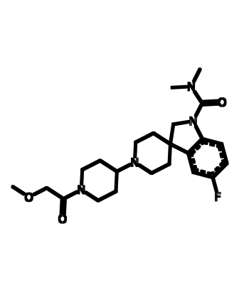 COCC(=O)N1CCC(N2CCC3(CC2)CN(C(=O)N(C)C)c2ccc(F)cc23)CC1